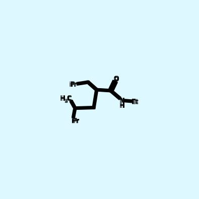 CCNC(=O)C(CC(C)C)CC(C)C(C)C